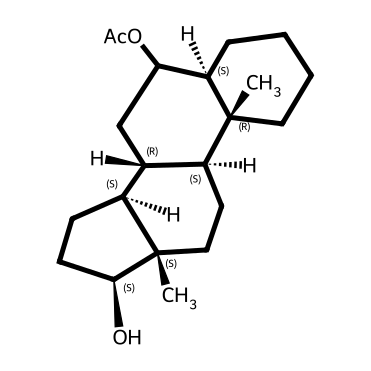 CC(=O)OC1C[C@@H]2[C@H](CC[C@]3(C)[C@@H](O)CC[C@@H]23)[C@@]2(C)CCCC[C@H]12